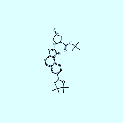 CC(C)(C)OC(=O)N1C[C@H](F)C[C@H]1c1nc2ccc3cc(B4OC(C)(C)C(C)(C)O4)ccc3c2[nH]1